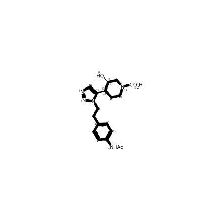 CC(=O)Nc1ccc(CCn2nncc2[C@@H]2CCN(C(=O)O)C[C@H]2O)cc1